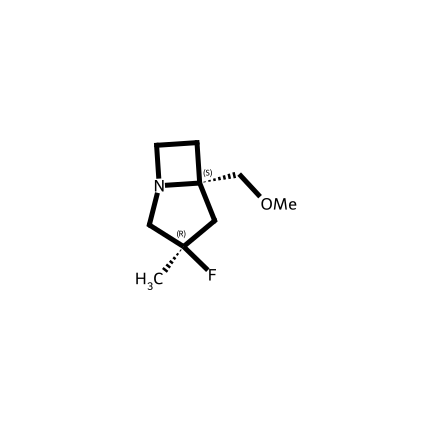 COC[C@@]12CCN1C[C@](C)(F)C2